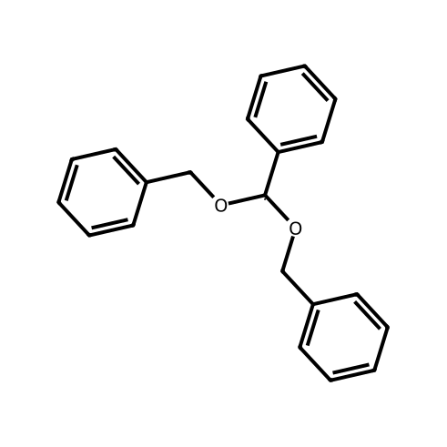 c1ccc(CO[C](OCc2ccccc2)c2ccccc2)cc1